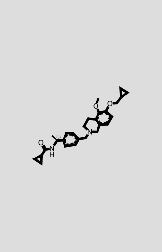 COc1c(OCC2CC2)ccc2c1CCN(Cc1ccc([C@H](C)NC(=O)C3CC3)cc1)C2